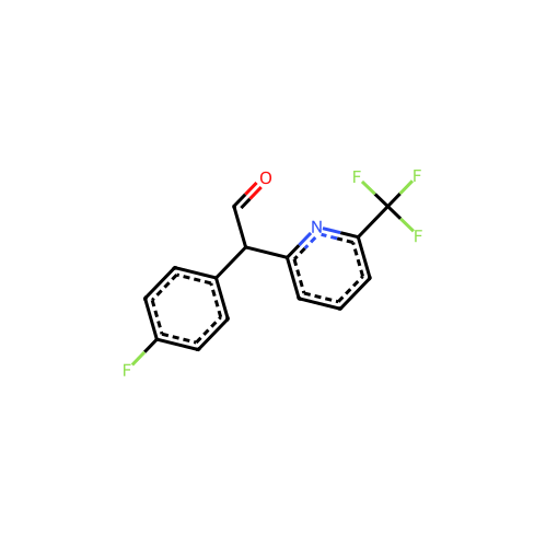 O=CC(c1ccc(F)cc1)c1cccc(C(F)(F)F)n1